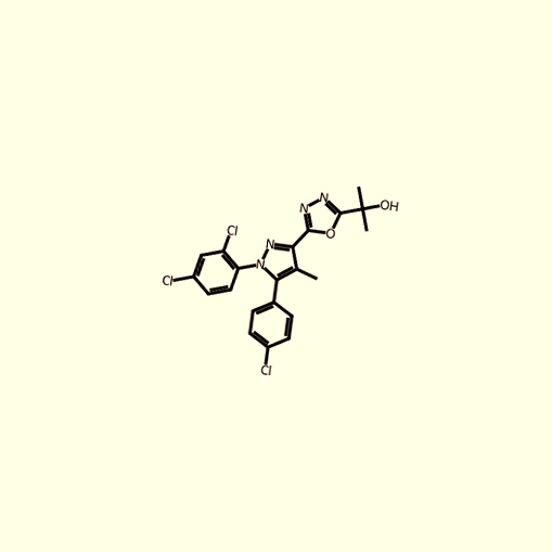 Cc1c(-c2nnc(C(C)(C)O)o2)nn(-c2ccc(Cl)cc2Cl)c1-c1ccc(Cl)cc1